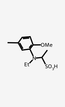 CCN(c1cc(C)ccc1OC)C(C)S(=O)(=O)O